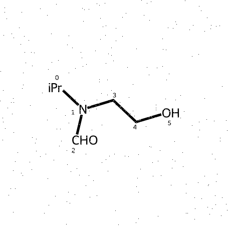 CC(C)N(C=O)CCO